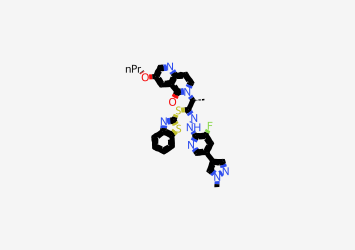 CCCOc1cnc2ccn([C@H](C)/C(=N/Nc3ncc(-c4cnn(C)c4)cc3F)Sc3nc4ccccc4s3)c(=O)c2c1